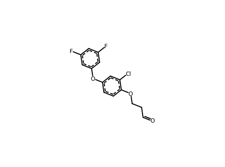 O=CCCOc1ccc(Oc2cc(F)cc(F)c2)cc1Cl